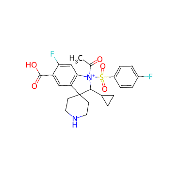 CC(=O)[N+]1(S(=O)(=O)c2ccc(F)cc2)c2cc(F)c(C(=O)O)cc2C2(CCNCC2)C1C1CC1